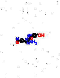 CN(C)C(=O)c1ccc(-c2cnc(N)c(-c3nnc(-c4ccc(CO)cc4)o3)n2)cc1